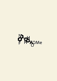 COC(=O)C(C)(C)[C@H]1C[C@H]2C[C@@H](c3ccnc4ccc(F)cc34)C[C@H]2C1